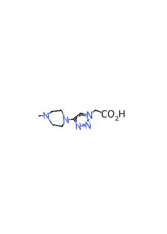 CN1CCN(c2cn(CC(=O)O)nn2)CC1